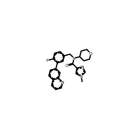 Cn1cnc(C(=O)N(Cc2ccc(F)c(-c3ccc4cccnc4c3)c2)C2CCOCC2)c1